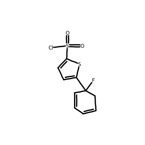 O=S(=O)(Cl)c1ccc(C2(F)C=CC=CC2)s1